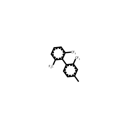 Cc1ccc(-c2c(C(F)(F)F)cccc2C(F)(F)F)c(C(F)(F)F)c1